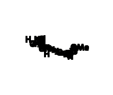 COC(=O)Cc1cncc(CCCOCCCCCCNCC(O)c2cc(Cl)c(N)c(Cl)c2)c1